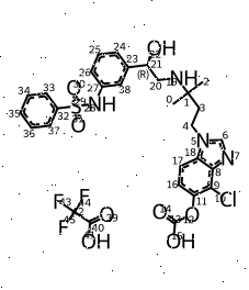 CC(C)(CCn1cnc2c(Cl)c(OC(=O)O)ccc21)NC[C@H](O)c1cccc(NS(=O)(=O)c2ccccc2)c1.O=C(O)C(F)(F)F